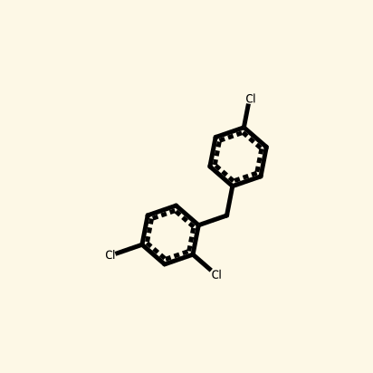 Clc1ccc(Cc2ccc(Cl)cc2Cl)cc1